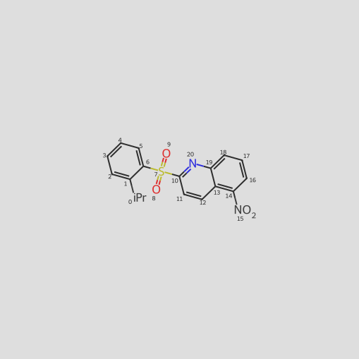 CC(C)c1ccccc1S(=O)(=O)c1ccc2c([N+](=O)[O-])cccc2n1